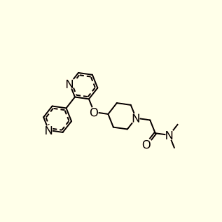 CN(C)C(=O)CN1CCC(Oc2cccnc2-c2ccncc2)CC1